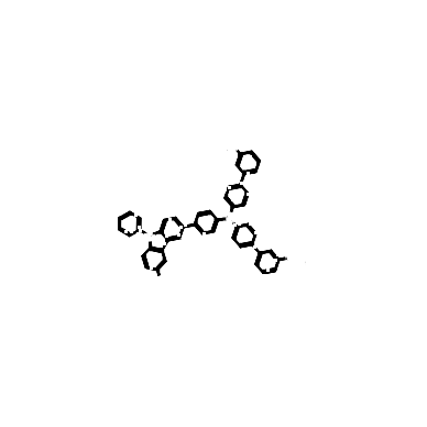 Cc1cccc(-c2ccc(N(c3ccc(-c4cccc(C)c4)cc3)c3ccc(-c4ccc5c(c4)c4cc(C(C)(C)C)ccc4n5-c4ccccc4)cc3)cc2)c1